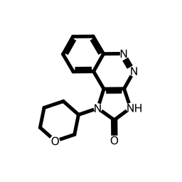 O=c1[nH]c2nnc3ccccc3c2n1C1CCCOC1